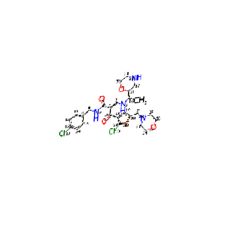 CC(NC=C(C(=O)NCc1ccc(Cl)cc1)C(=O)c1cc(CN2CCOCC2)sc1Cl)C1CNCCO1